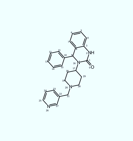 O=C1Nc2ccccc2C(c2ccccc2)N1C1CCN(Cc2cccnc2)CC1